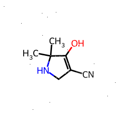 CC1(C)NCC(C#N)=C1O